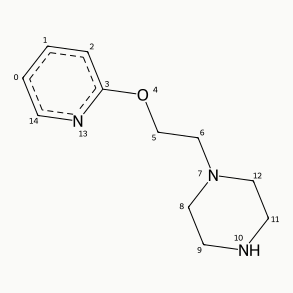 c1ccc(OCCN2CCNCC2)nc1